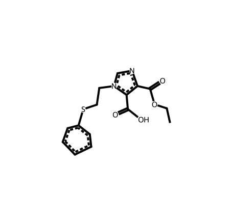 CCOC(=O)c1ncn(CCSc2ccccc2)c1C(=O)O